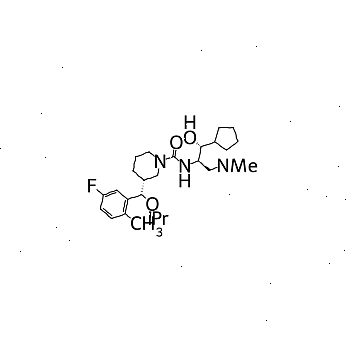 CNC[C@@H](NC(=O)N1CCC[C@@H](C(OC(C)C)c2cc(F)ccc2C)C1)[C@H](O)C1CCCC1